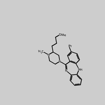 COCCCC1CN(C2=Nc3ccccc3Nc3ccc(C(C)C)cc32)CCN1C